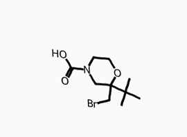 CC(C)(C)C1(CBr)CN(C(=O)O)CCO1